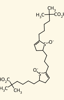 CC(C)(CCCCC1=CCC(CCCC2=CCC(CCCCC(C)(C)C(=O)O)[S+]2[O-])[S+]1[O-])C(=O)O